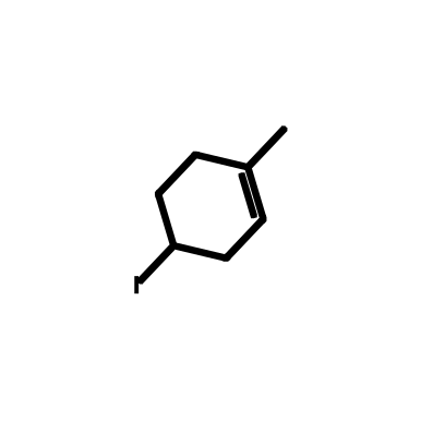 CC1=CCC(I)CC1